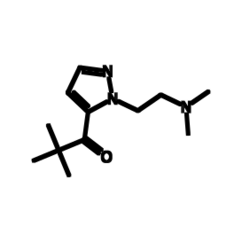 CN(C)CCn1nccc1C(=O)C(C)(C)C